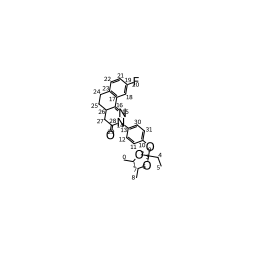 CCOC(CC)(OCC)Oc1ccc(N2N=C3c4cc(F)ccc4CCC3CC2=O)cc1